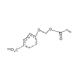 C=CC(=O)OCOc1ccc(C(=O)O)cc1